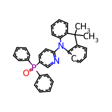 CC1(C)c2ccccc2N(c2ccc(P(=O)(c3ccccc3)c3ccccc3)cn2)c2ccccc21